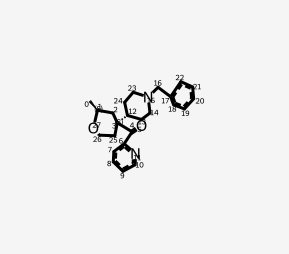 C[C@H]1C[C@](C(=O)c2ccccn2)(C2CCN(Cc3ccccc3)CC2)CCO1